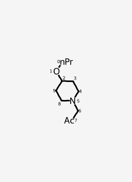 CCCOC1CCN(CC(C)=O)CC1